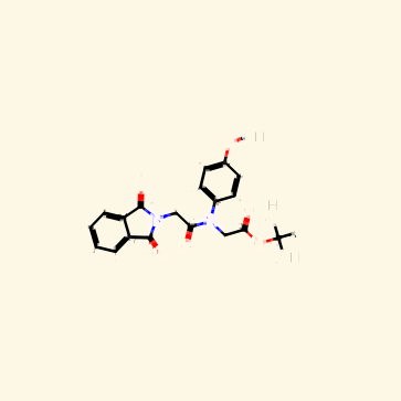 COc1ccc(N(CC(=O)OC(C)(C)C)C(=O)CN2C(=O)c3ccccc3C2=O)cc1